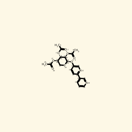 CC(=O)O[C@@H]1[C@@H](OC(C)=O)[C@@H](Oc2ccc(-c3cccnc3)nc2)SC[C@H]1OC(C)=O